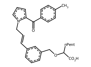 CCCCCC(OCc1cccc(/C=C/Cn2cccc2C(=O)c2ccc(C)cc2)c1)C(=O)O